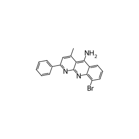 Cc1cc(-c2ccccc2)nc2nc3c(Br)cccc3c(N)c12